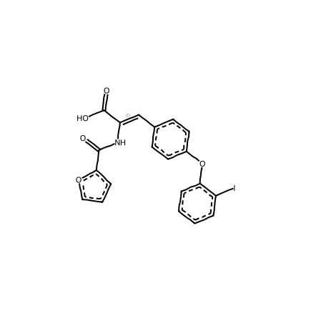 O=C(O)/C(=C/c1ccc(Oc2ccccc2I)cc1)NC(=O)c1ccco1